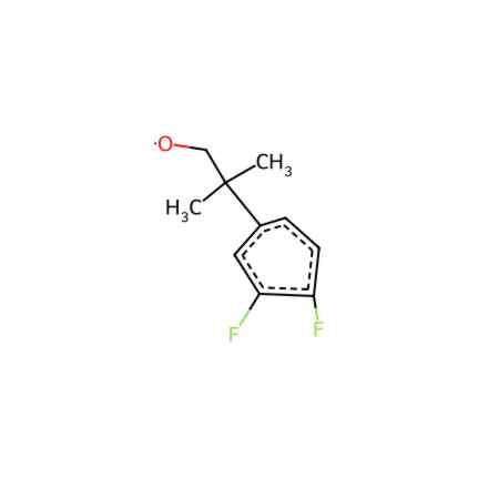 CC(C)(C[O])c1ccc(F)c(F)c1